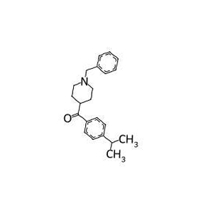 CC(C)c1ccc(C(=O)C2CCN(Cc3ccccc3)CC2)cc1